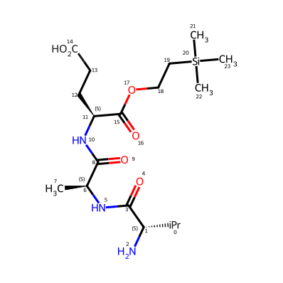 CC(C)[C@H](N)C(=O)N[C@@H](C)C(=O)N[C@@H](CCC(=O)O)C(=O)OCC[Si](C)(C)C